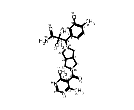 Cc1ccc(C(N2CC3CN(C(=O)c4c(C)ncnc4C)CC3C2)C(C)(C)C(N)=O)cc1Cl